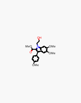 COC(=O)c1c(-c2ccc(OC)cc2)c2cc(OC)c(OC)cc2n1CCO